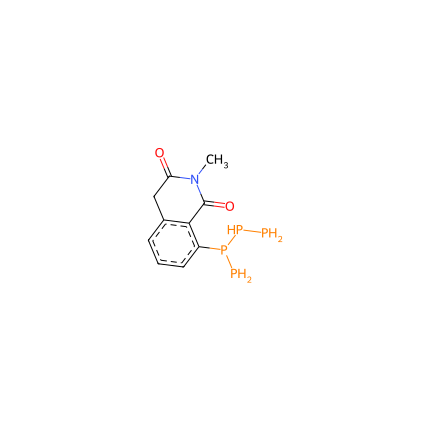 CN1C(=O)Cc2cccc(P(P)PP)c2C1=O